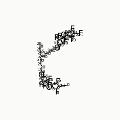 CC#Cc1c(F)cc(OC(F)(F)c2c(F)cc(OCCCCCCC(CCCCC)CCCCCCOc3cc(F)c(C(F)(F)Oc4cc(F)c(C#CF)c(F)c4)c(F)c3)cc2F)cc1F